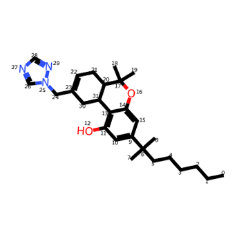 CCCCCCC(C)(C)c1cc(O)c2c(c1)OC(C)(C)C1CC=C(Cn3cncn3)CC21